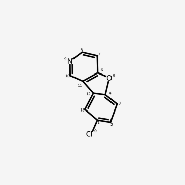 Clc1ccc2oc3ccncc3c2c1